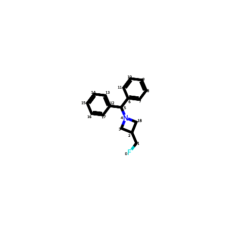 FCC1CN(C(c2ccccc2)c2ccccc2)C1